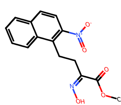 COC(=O)C(CCc1c([N+](=O)[O-])ccc2ccccc12)=NO